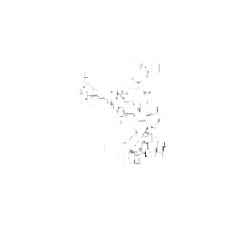 CC(C)[Si](Oc1cc(-c2ncc3c(O)nc(OC[C@@]45CCCN4C[C@H](F)C5)nc3c2F)c2c(CCCOC3CCCCNC3)c(F)ccc2c1)(C(C)C)C(C)C